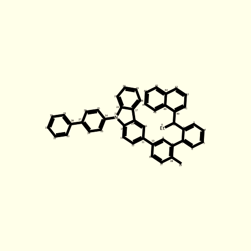 CCC(c1ccccc1-c1cc(-c2ccc3c(c2)c2ccccc2n3-c2ccc(-c3ccccc3)cc2)ccc1C)c1cccc2ccccc12